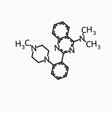 CN1CCN(c2ccccc2-c2nc(N(C)C)c3ccccc3n2)CC1